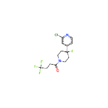 O=C(CCC(F)(F)F)N1CCC(F)(c2ccnc(Cl)c2)CC1